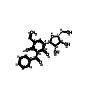 C=Cc1cn([C@@H]2O[C@H](CO)[C@@H](O)[C@@H]2O)c(=O)n(C(=O)c2ccccc2)c1=O